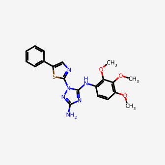 COc1ccc(Nc2nc(N)nn2-c2ncc(-c3ccccc3)s2)c(OC)c1OC